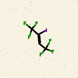 FC(F)(F)C=C(I)C(F)(F)F